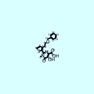 Cn1c(-c2sccc2CCOCc2ccccc2)nc(C(=O)O)c(O)c1=O